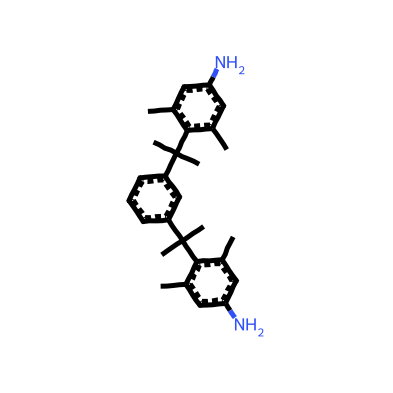 Cc1cc(N)cc(C)c1C(C)(C)c1cccc(C(C)(C)c2c(C)cc(N)cc2C)c1